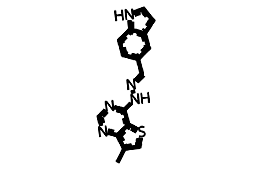 Cc1csc2c(NN=Cc3ccc4[nH]ccc4c3)ncnc12